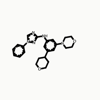 c1ccc(-n2cnc(Nc3cc(C4CCOCC4)cc(N4CCOCC4)c3)n2)cc1